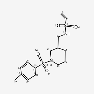 C=CS(=O)(=O)NCC1CCCN(S(=O)(=O)c2ccc(C)cc2)C1